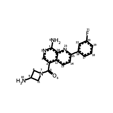 Nc1ncc(C(=O)N2CC(N)C2)c2ccc(-c3cccc(F)c3)nc12